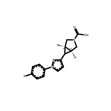 O=C(O)N1C[C@@H]2C(c3ccn(-c4ccc(F)cc4)n3)[C@@H]2C1